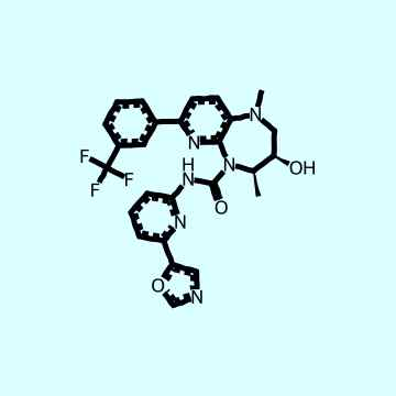 C[C@@H]1[C@H](O)CN(C)c2ccc(-c3cccc(C(F)(F)F)c3)nc2N1C(=O)Nc1cccc(-c2cnco2)n1